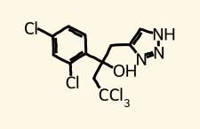 OC(Cc1c[nH]nn1)(CC(Cl)(Cl)Cl)c1ccc(Cl)cc1Cl